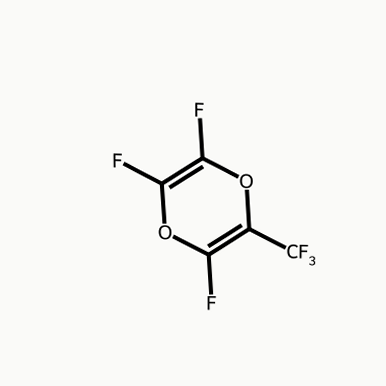 FC1=C(F)OC(C(F)(F)F)=C(F)O1